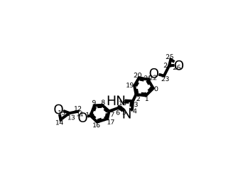 c1cc(-c2cnc(-c3ccc(OCC4CO4)cc3)[nH]2)ccc1OCC1CO1